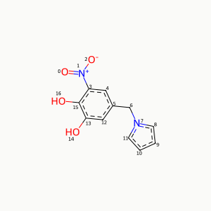 O=[N+]([O-])c1cc(Cn2cccc2)cc(O)c1O